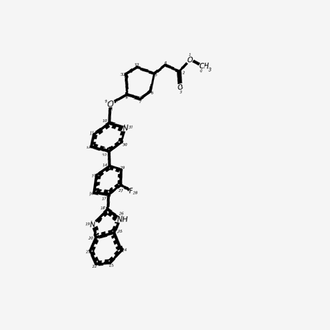 COC(=O)CC1CCC(Oc2ccc(-c3ccc(-c4nc5ccccc5[nH]4)c(F)c3)cn2)CC1